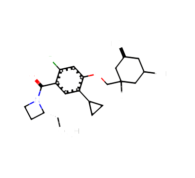 C=C1CC(C)CC(CC)(COc2cc(F)c(C(=O)N3CC[C@H]3CC(=O)O)cc2C2CC2)C1